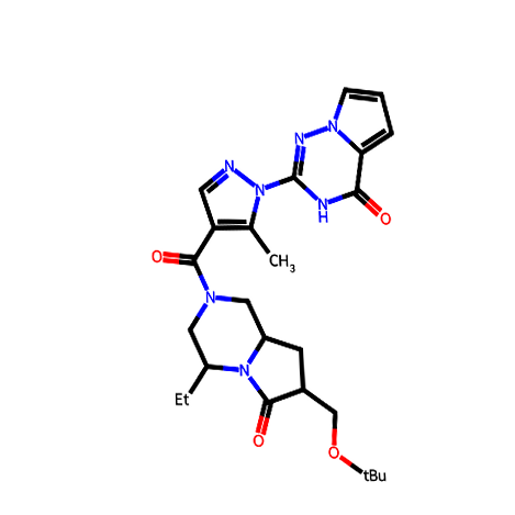 CCC1CN(C(=O)c2cnn(-c3nn4cccc4c(=O)[nH]3)c2C)CC2CC(COC(C)(C)C)C(=O)N12